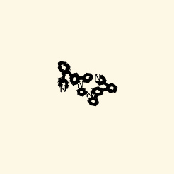 c1cc(-n2c3ccccc3c3cc(-c4ccccc4-c4ccncc4)ccc32)cc(-n2c3ccccc3c3cc(-c4ccccc4-c4ccncc4)ccc32)c1